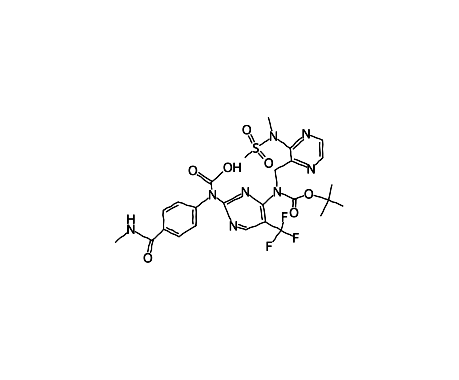 CNC(=O)c1ccc(N(C(=O)O)c2ncc(C(F)(F)F)c(N(Cc3nccnc3N(C)S(C)(=O)=O)C(=O)OC(C)(C)C)n2)cc1